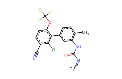 C=NC(=O)Nc1cc(-c2c(OC(F)(F)F)ccc(C#N)c2Cl)ccc1C